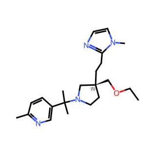 CCOC[C@@]1(CCc2nccn2C)CCN(C(C)(C)c2ccc(C)nc2)C1